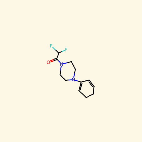 O=C(C(F)F)N1CCN(C2=CC[CH]C=C2)CC1